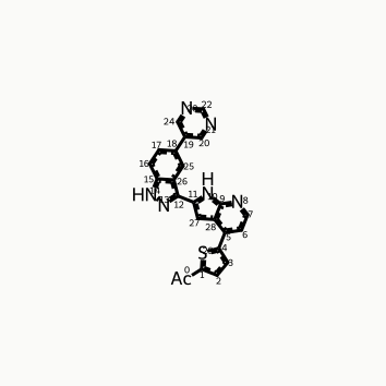 CC(=O)c1ccc(-c2ccnc3[nH]c(-c4n[nH]c5ccc(-c6cncnc6)cc45)cc23)s1